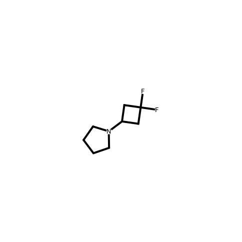 FC1(F)CC(N2CCCC2)C1